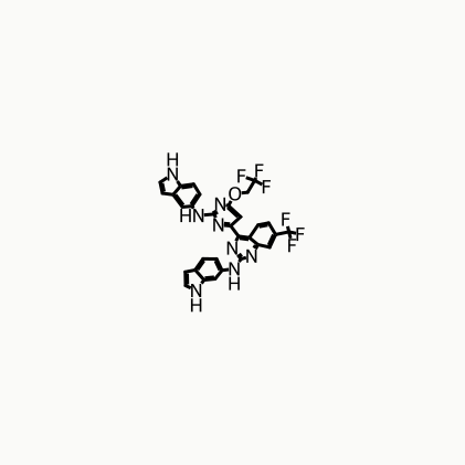 FC(F)(F)COc1cc(-c2nc(Nc3ccc4cc[nH]c4c3)nc3cc(C(F)(F)F)ccc23)nc(Nc2ccc3[nH]ccc3c2)n1